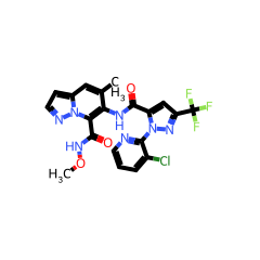 CONC(=O)c1c(NC(=O)c2cc(C(F)(F)F)nn2-c2ncccc2Cl)c(C)cc2ccnn12